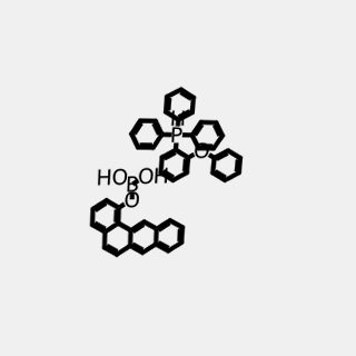 OB(O)Oc1cccc2ccc3cc4ccccc4cc3c12.c1ccc(Oc2ccccc2[PH](c2ccccc2)(c2ccccc2)c2ccccc2)cc1